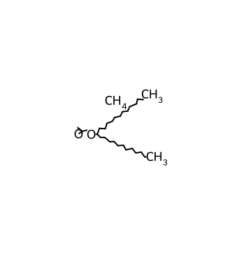 C.CCCCCCCCCCCCCC(CCCCCCCCCCCC)OCC1CO1